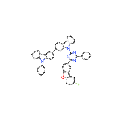 Fc1ccc2oc3ccc(-c4nc(-c5ccccc5)nc(-n5c6ccccc6c6ccc(-c7ccc8c(c7)c7ccccc7n8-c7ccccc7)cc65)n4)cc3c2c1